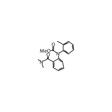 COC(=O)N(c1ccccc1C)c1ccccc1C(=O)N(C)C